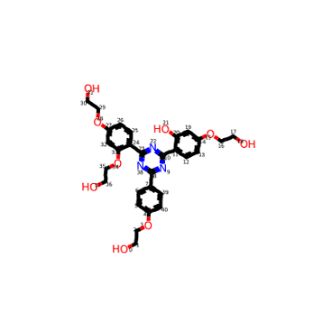 OCCOc1ccc(-c2nc(-c3ccc(OCCO)cc3O)nc(-c3ccc(OCCO)cc3OCCO)n2)cc1